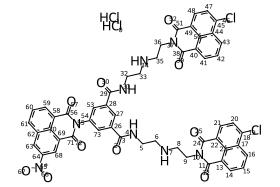 Cl.Cl.O=C(NCCNCCN1C(=O)c2cccc3c(Cl)ccc(c23)C1=O)c1cc(C(=O)NCCNCCN2C(=O)c3cccc4c(Cl)ccc(c34)C2=O)cc(N2C(=O)c3cccc4cc([N+](=O)[O-])cc(c34)C2=O)c1